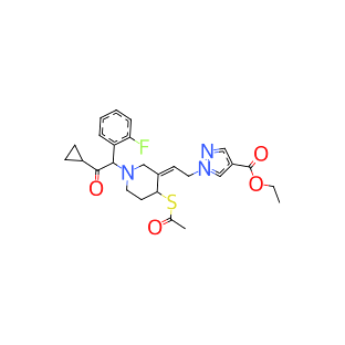 CCOC(=O)c1cnn(C/C=C2/CN(C(C(=O)C3CC3)c3ccccc3F)CCC2SC(C)=O)c1